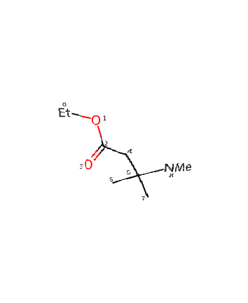 CCOC(=O)CC(C)(C)NC